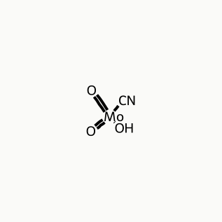 N#[C][Mo](=[O])(=[O])[OH]